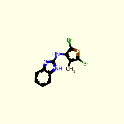 Cc1c(Br)sc(Br)c1Nc1nc2ccccc2[nH]1